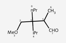 CCCC(COC)(C(C)C)C(C)C=O